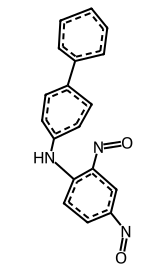 O=Nc1ccc(Nc2ccc(-c3ccccc3)cc2)c(N=O)c1